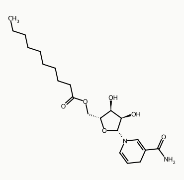 CCCCCCCCCC(=O)OC[C@H]1O[C@@H](N2C=CCC(C(N)=O)=C2)[C@H](O)[C@@H]1O